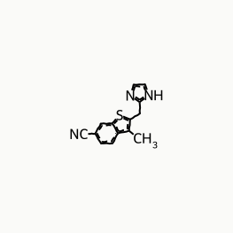 Cc1c(Cc2ncc[nH]2)sc2cc(C#N)ccc12